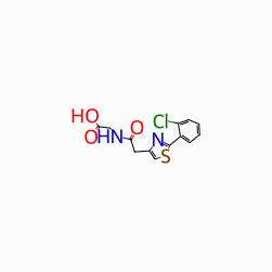 O=C(O)CNC(=O)Cc1csc(-c2ccccc2Cl)n1